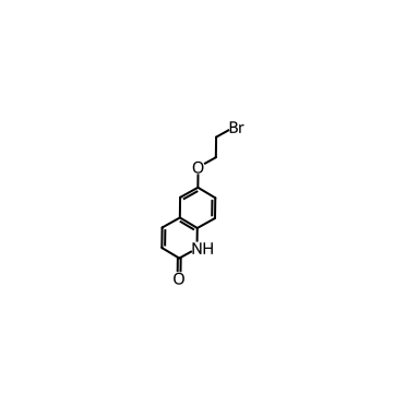 O=c1ccc2cc(OCCBr)ccc2[nH]1